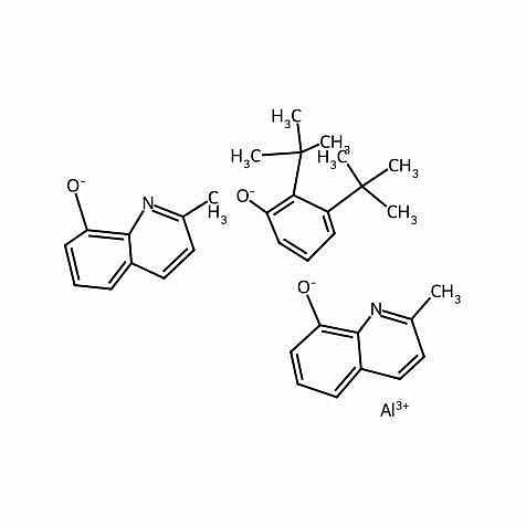 CC(C)(C)c1cccc([O-])c1C(C)(C)C.Cc1ccc2cccc([O-])c2n1.Cc1ccc2cccc([O-])c2n1.[Al+3]